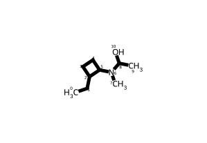 CCC1CCC1N(C)C(C)O